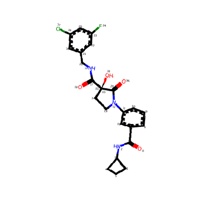 O=C(NC1CCC1)c1cccc(N2CC[C@](O)(C(=O)NCc3cc(F)cc(Cl)c3)C2=O)c1